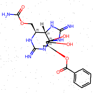 N=C1N[C@H]2[C@H](COC(N)=O)NC(=N)N3C[C@H](OC(=O)c4ccccc4)C(O)(O)[C@]23N1